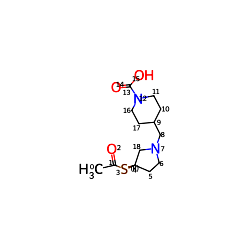 CC(=O)S[C@@H]1CCN(CC2CCN(C(=O)O)CC2)C1